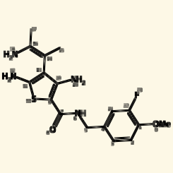 COc1ccc(CNC(=O)c2sc(N)c(/C(C)=C(/C)N)c2N)cc1F